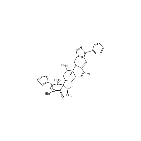 C[C@@H]1CC2C3C=C(F)C4=Cc5c(cnn5-c5ccccc5)C[C@]4(C)[C@@]3(F)C(O)C[C@]2(C)[C@@]1(OC(=O)c1ccco1)C(=O)OC(C)(C)C